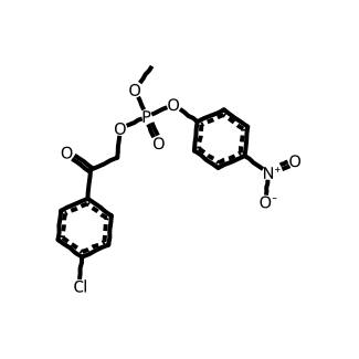 COP(=O)(OCC(=O)c1ccc(Cl)cc1)Oc1ccc([N+](=O)[O-])cc1